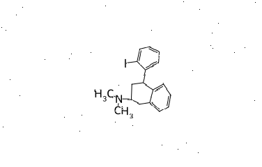 CN(C)C1Cc2ccccc2C(c2ccccc2I)C1